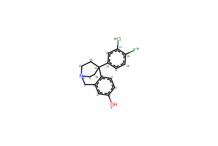 Oc1ccc2c(c1)CN1CCC2(c2ccc(F)c(Cl)c2)CC1